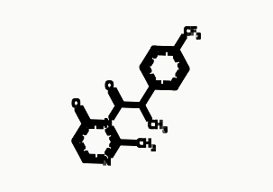 Cc1nccc(=O)n1C(=O)C(C)c1ccc(C(F)(F)F)cc1